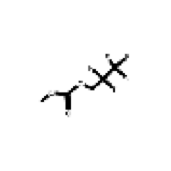 COC(=O)OCC(F)(F)C(F)(F)F